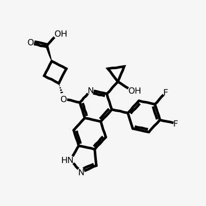 O=C(O)[C@H]1C[C@H](Oc2nc(C3(O)CC3)c(-c3ccc(F)c(F)c3)c3cc4cn[nH]c4cc23)C1